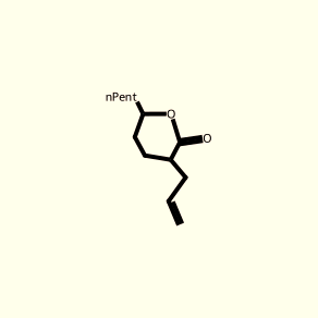 C=CCC1CCC(CCCCC)OC1=O